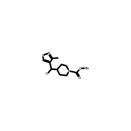 Cc1nscc1C(Cl)C1CCN(C(=O)OC(C)(C)C)CC1